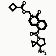 NC1CCN([S+]([O-])c2cccc3c(=O)n(COC(=O)C4CCC4)ccc23)C12CC2